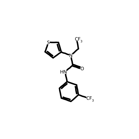 O=C(Nc1cccc(C(F)(F)F)c1)N(CC(F)(F)F)c1ccsc1